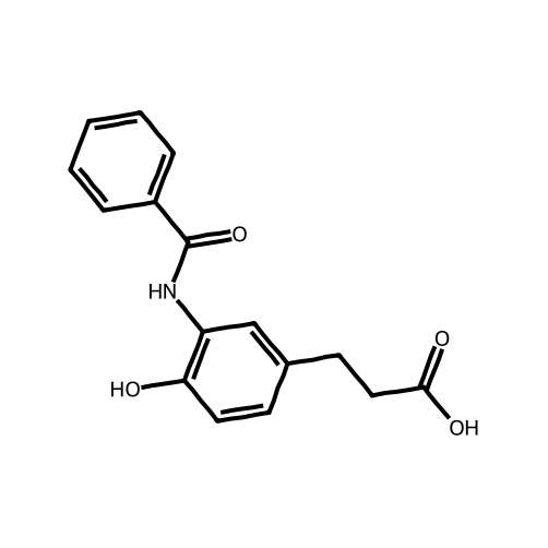 O=C(O)CCc1ccc(O)c(NC(=O)c2ccccc2)c1